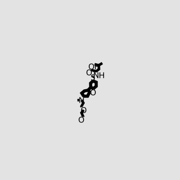 CC(C)CC(NSc1ccc2oc3cc(N(C)CCOCC=O)ccc3c2c1)C(=O)O